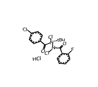 CC(C)(C)[N+](Cl)(C(=O)c1ccc(Cl)cc1)N(Cl)C(=O)c1ccccc1F.Cl